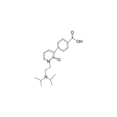 CC(C)N(CCn1cccc(-c2ccc(C(=O)O)cc2)c1=O)C(C)C